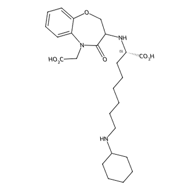 O=C(O)CN1C(=O)C(N[C@@H](CCCCCCNC2CCCCC2)C(=O)O)COc2ccccc21